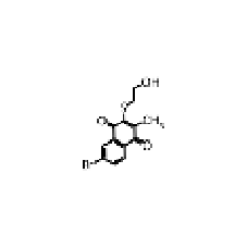 CC1=C(SCCO)C(=O)c2cc(Br)ccc2C1=O